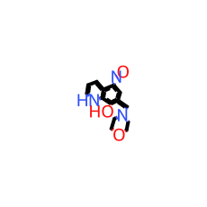 O=Nc1c/c(=C/N2CCOCC2)c(O)c2c1=CC=CN2